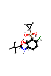 CC(C)(C)c1nc2ccc(Cl)c(S(=O)(=O)C3CC3)c2o1